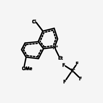 CC[n+]1ccc(Cl)c2ccc(OC)cc21.F[B-](F)(F)F